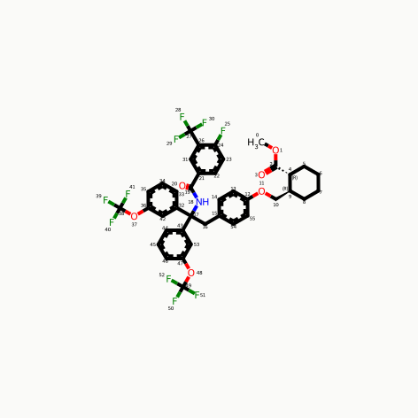 COC(=O)[C@@H]1CCCC[C@H]1COc1ccc(CC(NC(=O)c2ccc(F)c(C(F)(F)F)c2)(c2cccc(OC(F)(F)F)c2)c2cccc(OC(F)(F)F)c2)cc1